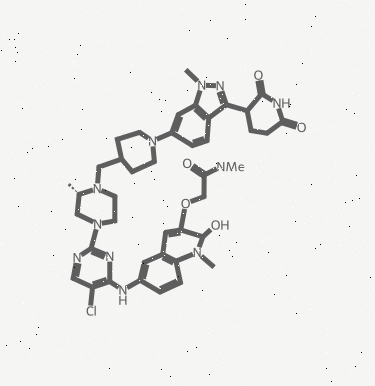 CNC(=O)COC1=Cc2cc(Nc3nc(N4CCN(CC5CCN(c6ccc7c(C8CCC(=O)NC8=O)nn(C)c7c6)CC5)[C@@H](C)C4)ncc3Cl)ccc2N(C)C1O